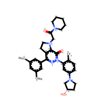 COc1cc(OC)cc(-c2nn(-c3cc(N4CC[C@H](O)C4)ccc3C(F)(F)F)c(=O)c3c2CCN3CC(=O)N2CCCCC2)c1